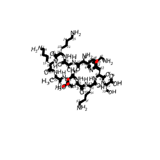 CC(C)[C@H](NC(=O)[C@H](C)NC(=O)[C@H](CCCCN)NC(=O)[C@H](CCCCN)NC(=O)[C@H](C)NC(=O)[C@@H](N)CCCCN)C(=O)N[C@@H](CC(=O)O)C(=O)N[C@@H](CCCCN)C(=O)N[C@@H](Cc1c[nH]cn1)C(=O)N[C@@H](CO)C(=O)O